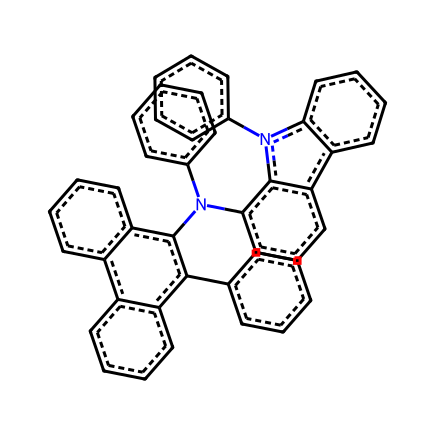 c1ccc(-c2c(N(c3ccccc3)c3cccc4c5ccccc5n(-c5ccccc5)c34)c3ccccc3c3ccccc23)cc1